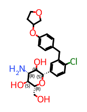 N[C@@H]1[C@@H](O)[C@H](c2ccc(Cl)c(Cc3ccc(OC4CCOC4)cc3)c2)O[C@H](CO)[C@H]1O